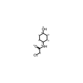 O=C(CCl)NC1CCC(O)CC1